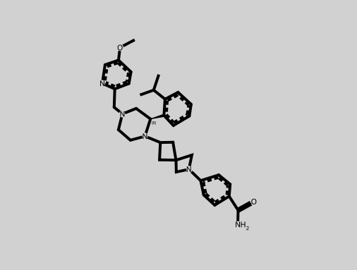 COc1ccc(CN2CCN(C3CC4(C3)CN(c3ccc(C(N)=O)cc3)C4)[C@H](c3ccccc3C(C)C)C2)nc1